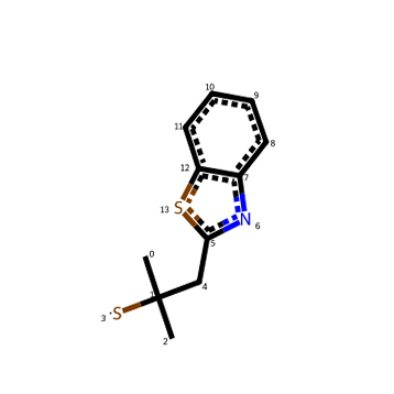 CC(C)([S])Cc1nc2ccccc2s1